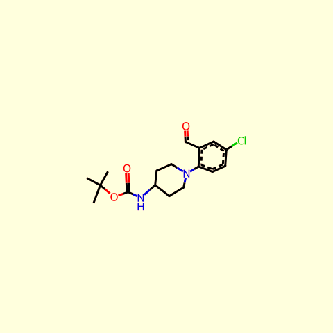 CC(C)(C)OC(=O)NC1CCN(c2ccc(Cl)cc2C=O)CC1